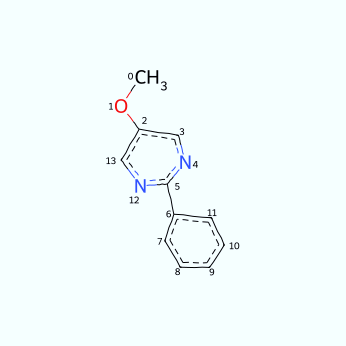 COc1cnc(-c2ccccc2)nc1